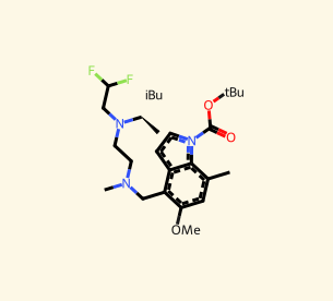 CC[C@H](C)[C@@H](C)N(CCN(C)Cc1c(OC)cc(C)c2c1ccn2C(=O)OC(C)(C)C)CC(F)F